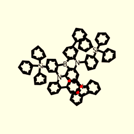 c1ccc(-c2ccc3c(c2)N(c2cccc([Si](c4ccccc4)(c4ccccc4)c4ccccc4)c2)c2cc(-n4c5ccccc5c5ccccc54)cc4c2B3c2ccc([Si](c3ccccc3)(c3ccccc3)c3ccccc3)cc2N4c2ccccc2-c2ccccc2)cc1